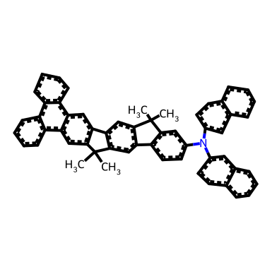 CC1(C)c2cc(N(c3ccc4ccccc4c3)c3ccc4ccccc4c3)ccc2-c2cc3c(cc21)-c1cc2c4ccccc4c4ccccc4c2cc1C3(C)C